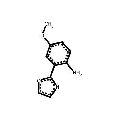 COc1ccc(N)c(-c2ncco2)c1